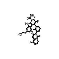 Cc1c(C2=C(F)C[C@H](C(N)=O)c3[nH]c4cc(CCO)ccc4c32)cccc1-n1c(=O)cc2c(F)cccn2c1=O